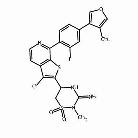 Cc1cocc1-c1ccc(-c2nccc3c(Cl)c(C4CS(=O)(=O)N(C)C(=N)N4)sc23)c(F)c1